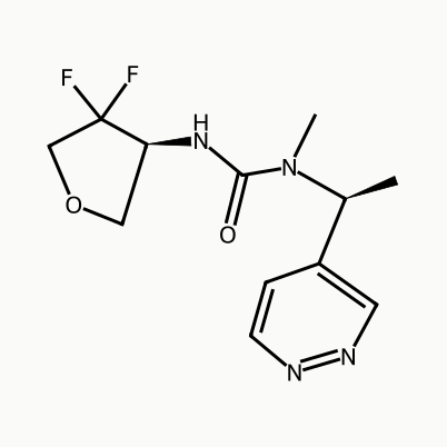 C[C@@H](c1ccnnc1)N(C)C(=O)N[C@H]1COCC1(F)F